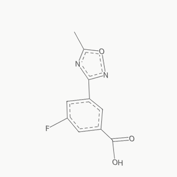 Cc1nc(-c2cc(F)cc(C(=O)O)c2)no1